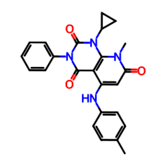 Cc1ccc(Nc2cc(=O)n(C)c3c2c(=O)n(-c2ccccc2)c(=O)n3C2CC2)cc1